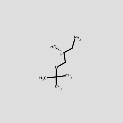 CC(C)(C)OC[C@H](O)CN